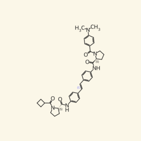 CN(C)c1ccc(C(=O)N2CCC[C@H]2C(=O)Nc2ccc(/C=C/c3ccc(NC(=O)[C@@H]4CCCN4C(=O)C4CCC4)cc3)cc2)cc1